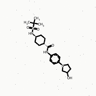 CC(C)(C)S(=O)(=O)N[C@H]1CC[C@H](C(=O)Nc2ccc(N3CCC(O)C3)cc2)CC1